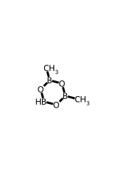 CB1OBOB(C)O1